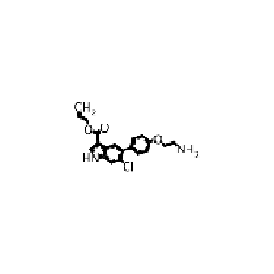 C=CCOC(=O)c1c[nH]c2cc(Cl)c(-c3ccc(OCCN)cc3)cc12